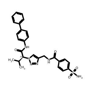 CC(C)[C@@H](C(=O)Nc1ccc(-c2ccccc2)cc1)n1cc(CNC(=O)c2ccc(S(N)(=O)=O)cc2)nn1